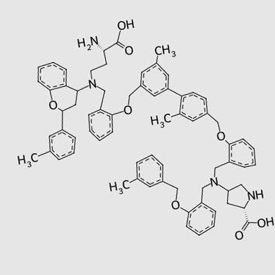 Cc1cccc(COc2ccccc2CN(Cc2ccccc2OCc2ccc(-c3cc(C)cc(COc4ccccc4CN(CC[C@H](N)C(=O)O)C4CC(c5cccc(C)c5)Oc5ccccc54)c3)c(C)c2)C2CN[C@H](C(=O)O)C2)c1